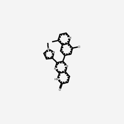 Cc1ccnc2c(Cl)cc(-c3nc4ccc(=O)[nH]c4nc3-c3ccn(C)n3)cc12